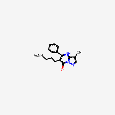 CC(=O)NCCCc1c(-c2ccccc2)[nH]c2c(C#N)cnn2c1=O